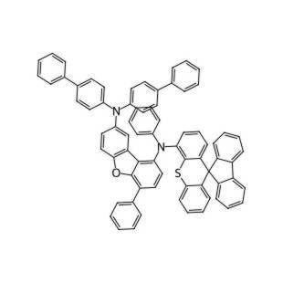 c1ccc(-c2ccc(N(c3ccc(-c4ccccc4)cc3)c3ccc4oc5c(-c6ccccc6)ccc(N(c6ccccc6)c6cccc7c6Sc6ccccc6C76c7ccccc7-c7ccccc76)c5c4c3)cc2)cc1